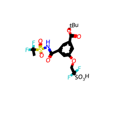 CC(C)(C)OC(=O)c1cc(OCC(F)(F)S(=O)(=O)O)cc(C(=O)NS(=O)(=O)C(C)(F)F)c1